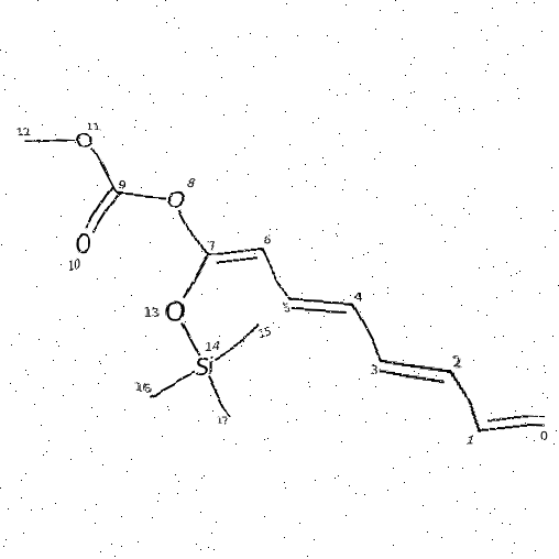 C=CC=CC=CC=C(OC(=O)OC)O[Si](C)(C)C